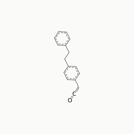 O=C=Cc1ccc(CCc2ccccc2)cc1